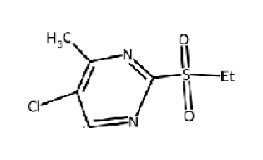 CCS(=O)(=O)c1n[c]c(Cl)c(C)n1